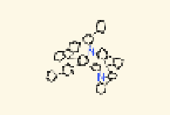 c1ccc(-c2cccc(N(c3ccc4c(c3)C3(c5ccccc5-c5ccccc53)c3cc(-c5ccccc5)ccc3-4)c3ccc4c(c3)C3(c5ccccc5-4)c4ccccc4-n4c5ccccc5c5cccc3c54)c2)cc1